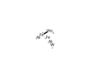 [Fe].[Ni].[Ni].[PH2][Fe].[W]